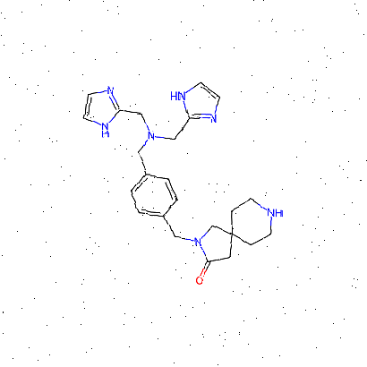 O=C1CC2(CCNCC2)CN1Cc1ccc(CN(Cc2ncc[nH]2)Cc2ncc[nH]2)cc1